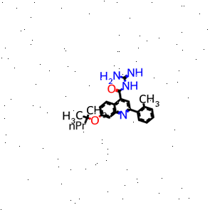 CCCC(C)(C)Oc1ccc2c(C(=O)NC(=N)N)cc(-c3ccccc3C)nc2c1